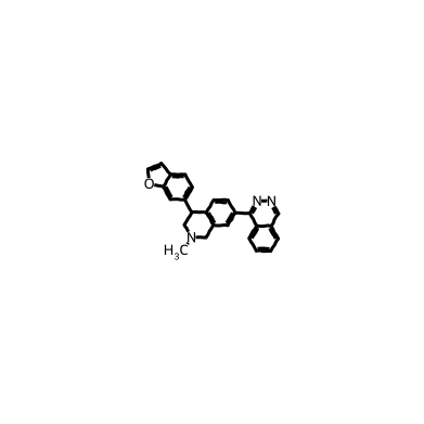 CN1Cc2cc(-c3nncc4ccccc34)ccc2C(c2ccc3ccoc3c2)C1